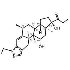 CCC(=O)[C@@]1(O)CC[C@H]2[C@@H]3C[C@H](C)C4=Cc5c(cnn5CC)C[C@]4(C)[C@H]3[C@@H](O)C[C@@]21C